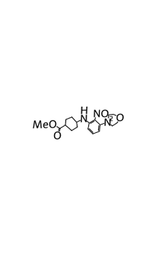 COC(=O)C1CCC(Nc2cccc(N3CCOCC3)c2[N+](=O)[O-])CC1